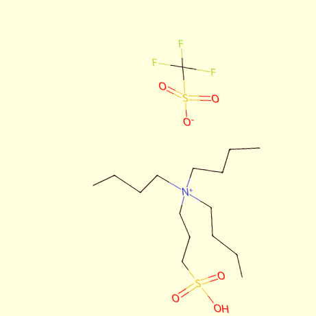 CCCC[N+](CCCC)(CCCC)CCCS(=O)(=O)O.O=S(=O)([O-])C(F)(F)F